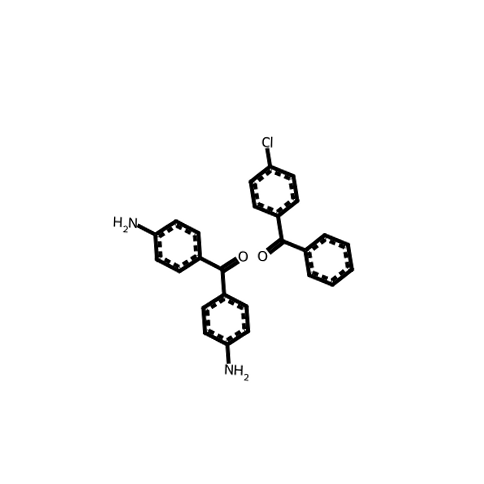 Nc1ccc(C(=O)c2ccc(N)cc2)cc1.O=C(c1ccccc1)c1ccc(Cl)cc1